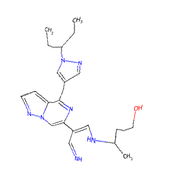 CCC(CC)n1cc(-c2nc(/C(C=N)=C/NC(C)CCO)cn3nccc23)cn1